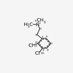 CN(C)CCc1cccc(Cl)c1Cl